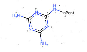 CCCCCNc1nc(N)nc(N)n1